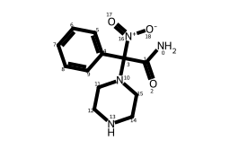 NC(=O)C(c1ccccc1)(N1CCNCC1)[N+](=O)[O-]